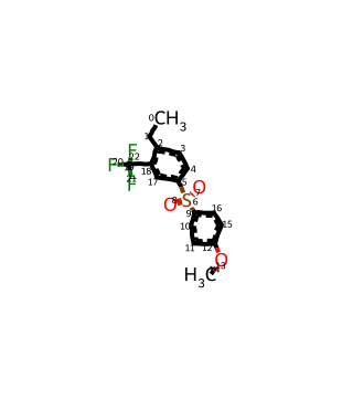 CCc1ccc(S(=O)(=O)c2ccc(OC)cc2)cc1C(F)(F)F